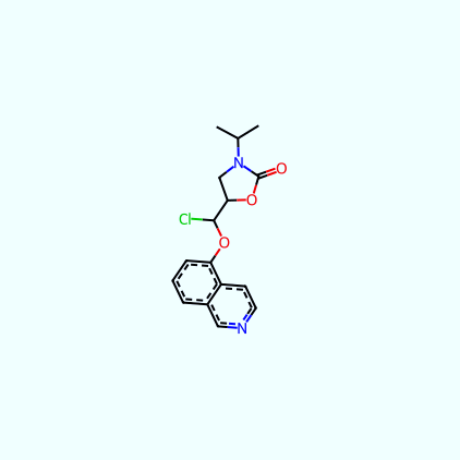 CC(C)N1CC(C(Cl)Oc2cccc3cnccc23)OC1=O